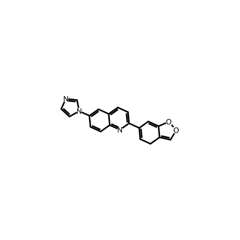 C1=C2CC=C(c3ccc4cc(-n5ccnc5)ccc4n3)C=C2OO1